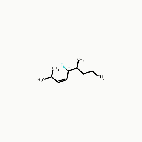 CCCC(C)[C@H](F)/C=C\C(C)C